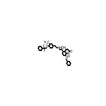 Cc1cc(CCNC[C@@H](O)c2ccc(OCc3ccccc3)c3[nH]c(=O)ccc23)ccc1OCC(F)(F)c1ccccc1